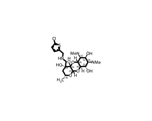 CN[C@@H]1[C@H](O)[C@H](NC)[C@H]2O[C@]3(O)[C@H](O[C@@H]2[C@H]1O)O[C@H](C)C[C@@]3(O)CNCc1ccc(Cl)s1